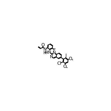 C=CC(=O)Nc1cccc(F)c1Nc1ncc2cc(-c3c(Cl)c(OC)cc(OC)c3I)ccc2n1